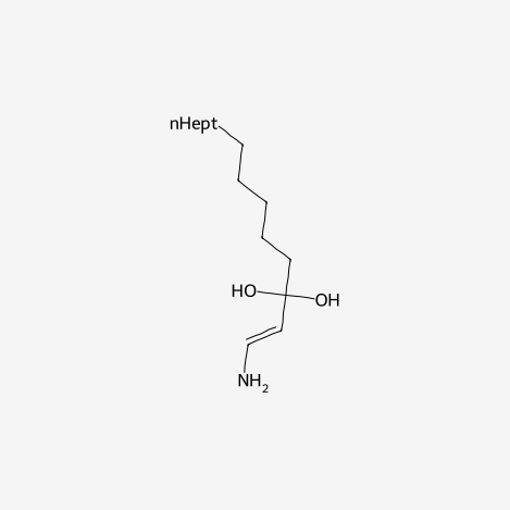 CCCCCCCCCCCCC(O)(O)C=CN